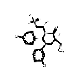 CC(C)[C@@H](CS(=O)(=O)C(C)C)N1C(=O)[C@@](C)(CC(=O)O)CC(c2cccc(Cl)c2)[C@H]1c1ccc(Cl)cc1